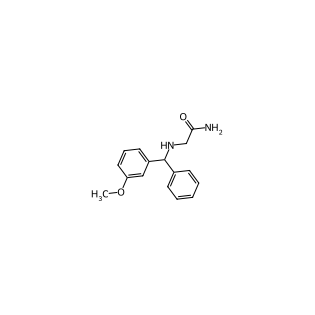 COc1cccc(C(NCC(N)=O)c2ccccc2)c1